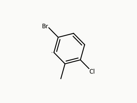 Cc1[c]c(Br)ccc1Cl